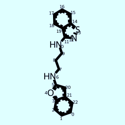 c1ccc2oc(NCCCNc3nsc4ccccc34)cc2c1